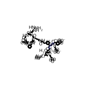 CC1(C)C(/C=C/C(=C/C=C2\N(CCCS(=O)(=O)[O-])c3ccc(S(=O)(=O)[O-])cc3C2(C)C)c2cccc(CCC(=O)NCCCC[C@@H]3NC(=O)[C@@H](Cc4ccccc4)NC(=O)[C@H](CC(=O)[O-])NC(=O)CNC(=O)[C@H](CCCNC(=N)N)NC3=O)c2)=Nc2c1cc(Cl)c[n+]2CCCS(=O)(=O)[O-].[Na+].[Na+].[Na+]